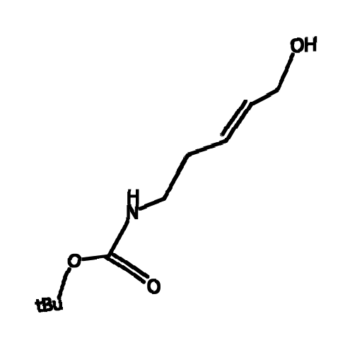 CC(C)(C)OC(=O)NCCC=CCO